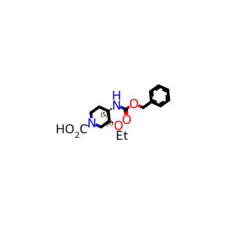 CCO[C@@H]1CN(C(=O)O)CC[C@@H]1NC(=O)OCc1ccccc1